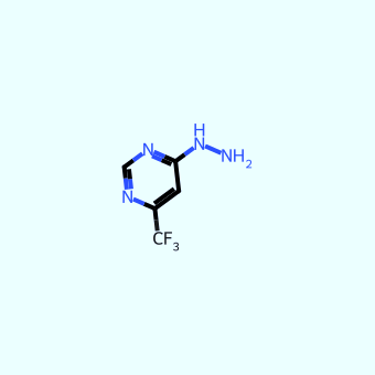 NNc1cc(C(F)(F)F)ncn1